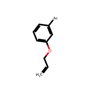 C=CCOc1cccc(C(C)=O)c1